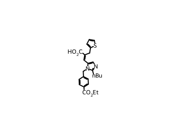 CCCCc1ncc(/C=C(\Cc2cccs2)C(=O)O)n1Cc1ccc(C(=O)OCC)cc1